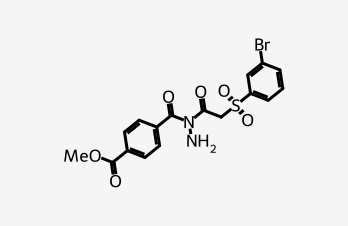 COC(=O)c1ccc(C(=O)N(N)C(=O)CS(=O)(=O)c2cccc(Br)c2)cc1